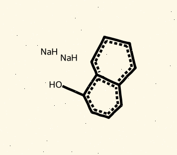 Oc1cccc2ccccc12.[NaH].[NaH]